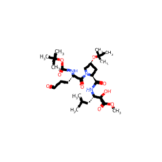 COC(=O)C(O)[C@H](CC(C)C)NC(=O)[C@@H]1C[C@@H](OC(C)(C)C)CN1C(=O)[C@H](CCC=O)NC(=O)OC(C)(C)C